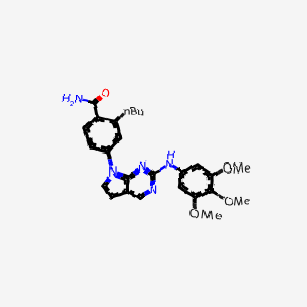 CCCCc1cc(-n2ccc3cnc(Nc4cc(OC)c(OC)c(OC)c4)nc32)ccc1C(N)=O